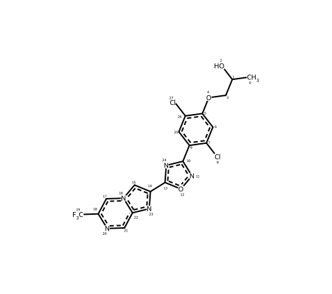 CC(O)COc1cc(Cl)c(-c2noc(-c3cn4cc(C(F)(F)F)ncc4n3)n2)cc1Cl